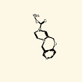 CC(C)(C)OC(=O)N1C=CN2Cc3cnccc3OCC2=C1